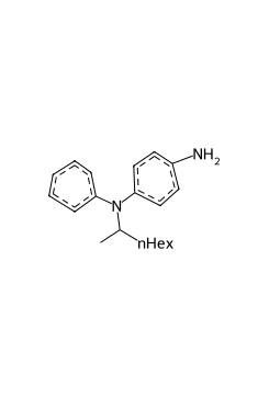 CCCCCCC(C)N(c1ccccc1)c1ccc(N)cc1